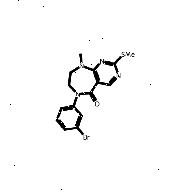 CSc1ncc2c(n1)N(C)CCN(c1cccc(Br)c1)C2=O